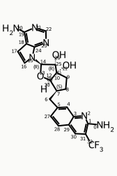 Nc1nc2cc(C[C@@H]3CC[C@@]4(O)[C@@H]3O[C@@H](n3ccc5c(N)ncnc53)[C@@H]4O)ccc2cc1C(F)(F)F